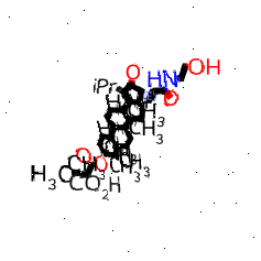 CC(C)C1=C2[C@H]3CC[C@@H]4[C@@]5(C)CC[C@H](OC(=O)CC(C)(C)C(=O)O)C(C)(C)[C@@H]5CC[C@@]4(C)[C@]3(C)CC[C@@]2(/C=C/C(=O)NCCO)CC1=O